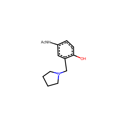 CC(=O)Nc1ccc(O)c(CN2CCCC2)c1